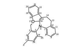 Cc1cc(C)c(N2c3ccccc3CCc3c2oc2ccccc32)c(C)c1